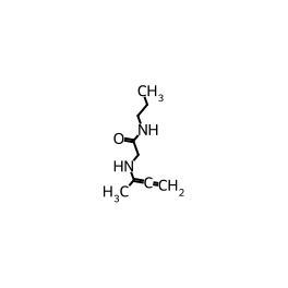 C=C=C(C)NCC(=O)NCCC